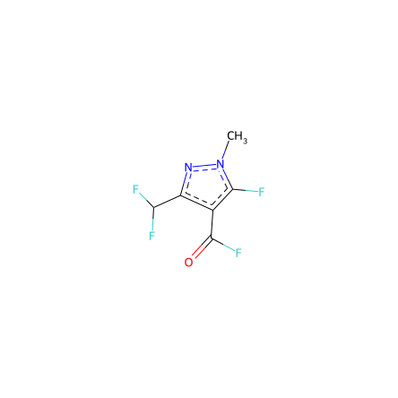 Cn1nc(C(F)F)c(C(=O)F)c1F